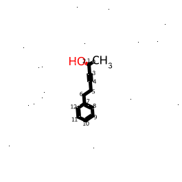 CC(O)C#CCCc1ccccc1